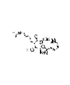 CC(C)(C)OC(=O)C(CCCCN)C(O)c1nnc(-c2cccnc2)o1